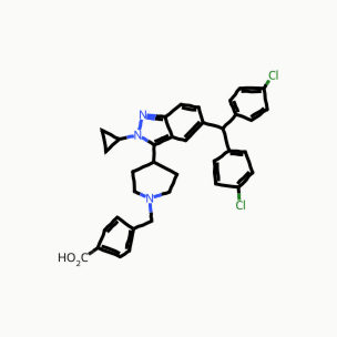 O=C(O)c1ccc(CN2CCC(c3c4cc(C(c5ccc(Cl)cc5)c5ccc(Cl)cc5)ccc4nn3C3CC3)CC2)cc1